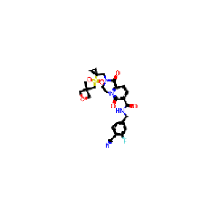 CC1(CS(=O)(=O)C2(CN3CCn4c(ccc(C(=O)NCc5ccc(C#N)c(F)c5)c4=O)C3=O)CC2)COC1